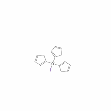 [I][Zr]([C]1=CC=CC1)([C]1=CC=CC1)[C]1=CC=CC1